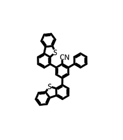 N#Cc1c(-c2ccccc2)cc(-c2cccc3c2sc2ccccc23)cc1-c1cccc2c1sc1ccccc12